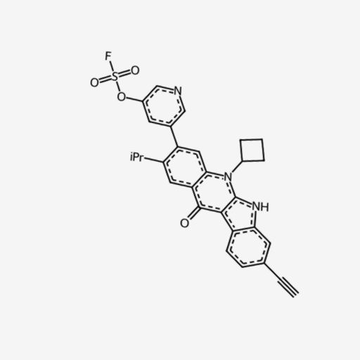 C#Cc1ccc2c(c1)[nH]c1c2c(=O)c2cc(C(C)C)c(-c3cncc(OS(=O)(=O)F)c3)cc2n1C1CCC1